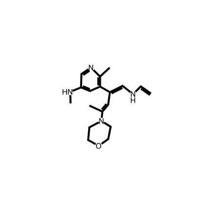 C=CN/C=C(\C=C(/C)N1CCOCC1)c1cc(NC)cnc1C